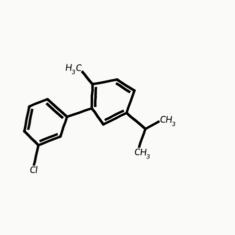 Cc1ccc(C(C)C)cc1-c1cccc(Cl)c1